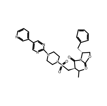 CC(C)[C@@H](CS(=O)(=O)N1CCN(c2ncc(-c3cccnc3)cn2)CC1)C(=O)N1C(=O)OC[C@H]1Cc1ccccc1